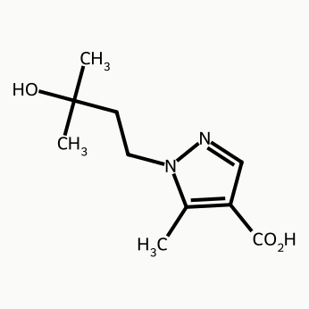 Cc1c(C(=O)O)cnn1CCC(C)(C)O